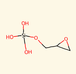 O[Si](O)(O)OCC1CO1